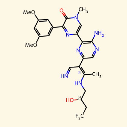 COc1cc(OC)cc(-c2nc(-c3nc(/C(C=N)=C(\C)NC[C@@H](O)CC(F)(F)F)cnc3N)cn(C)c2=O)c1